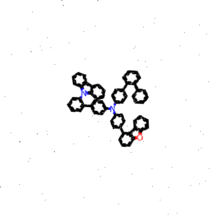 c1ccc(-c2ccccc2-c2ccc(N(c3ccc(-c4ccccc4-n4c5ccccc5c5ccccc54)cc3)c3ccc(-c4cccc5oc6ccccc6c45)cc3)cc2)cc1